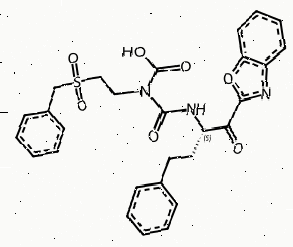 O=C(c1nc2ccccc2o1)[C@H](CCc1ccccc1)NC(=O)N(CCS(=O)(=O)Cc1ccccc1)C(=O)O